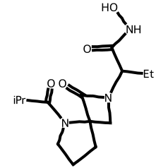 CCC(C(=O)NO)N1CC2(CCCN2C(=O)C(C)C)C1=O